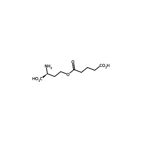 N[C@@H](CCOC(=O)CCCC(=O)O)C(=O)O